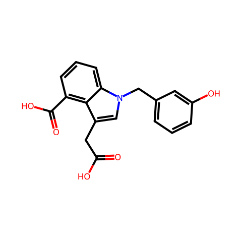 O=C(O)Cc1cn(Cc2cccc(O)c2)c2cccc(C(=O)O)c12